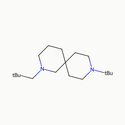 CC(C)(C)CN1CCCC2(CCN(C(C)(C)C)CC2)C1